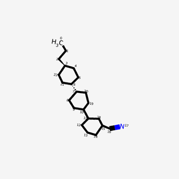 CCC[C@H]1CC[C@H](C2CCC(C3CCCC(C#N)C3)CC2)CC1